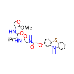 COC1OCC[C@@H]1NC(=O)[C@@H](NC(=O)CNC(=O)COc1ccc2c(c1)Nc1ccccc1S2)C(C)C